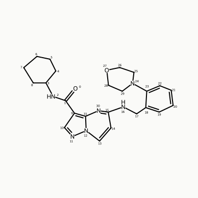 O=C(NC1CCCCC1)c1cnn2ccc(NCc3ccccc3N3CCOCC3)nc12